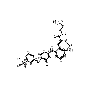 C=CCNC(=O)C1=Cc2c(ncnc2Nc2ccc(Oc3cccc(C(F)(F)F)c3)c(Cl)c2)NCC1